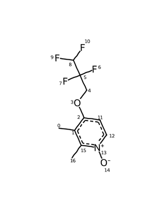 Cc1c(OCC(F)(F)C(F)F)cc[n+]([O-])c1C